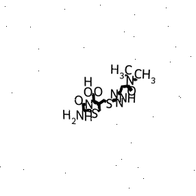 CCN(CC)C(=O)Cc1nc(SCC2=C(C(=O)O)N3C(=O)C(N)[C@@H]3SC2)n[nH]1